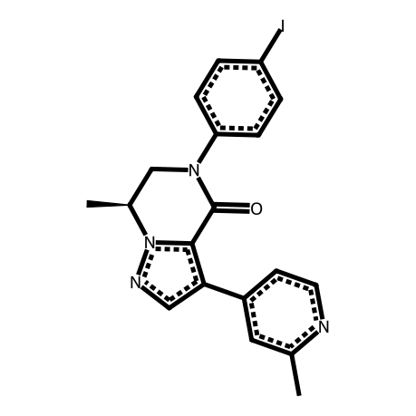 Cc1cc(-c2cnn3c2C(=O)N(c2ccc(I)cc2)C[C@@H]3C)ccn1